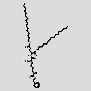 CCCCCCCCCCCCCCCCOC(=O)CCC(NC(=O)C(N)CCCCNC(=O)OCc1ccccc1)C(=O)OCCCCCCCCCCCCCCCC